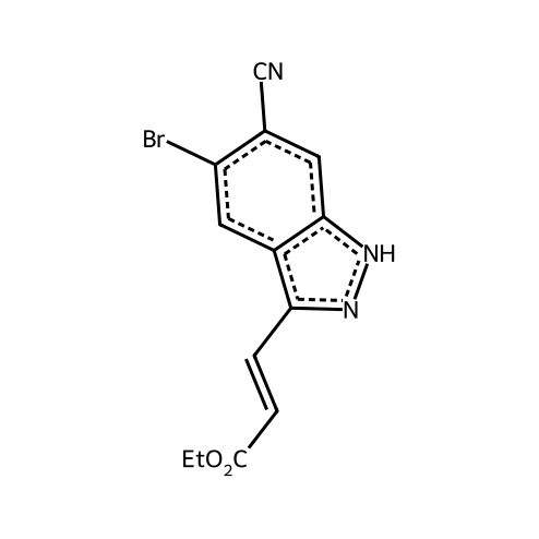 CCOC(=O)/C=C/c1n[nH]c2cc(C#N)c(Br)cc12